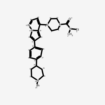 CCN(C)C(=O)N1CCN(c2ccnn3cc(-c4ccc(C5CCN(C(C)C)CC5)cc4)cc23)CC1